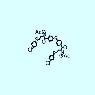 CC(=O)O/N=C(\CCSc1ccc(Cl)cc1)C(=O)c1ccc(Sc2ccc(C(=O)/C(CCSc3ccc(Cl)cc3)=N/OC(C)=O)cc2)cc1